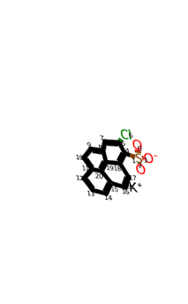 O=S(=O)([O-])c1c(Cl)cc2ccc3cccc4ccc1c2c34.[K+]